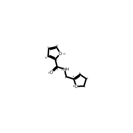 O=C(NCC1=CCCO1)c1ccco1